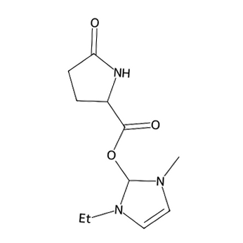 CCN1C=CN(C)C1OC(=O)C1CCC(=O)N1